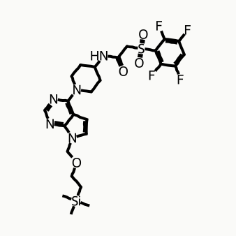 C[Si](C)(C)CCOCn1ccc2c(N3CCC(NC(=O)CS(=O)(=O)c4c(F)c(F)cc(F)c4F)CC3)ncnc21